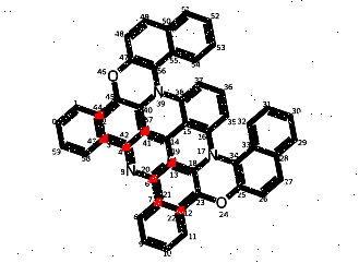 c1ccc(-c2nc(-c3ccccc3)nc(-c3c(N4c5ccccc5Oc5ccc6ccccc6c54)cccc3N3c4ccccc4Oc4ccc5ccccc5c43)n2)cc1